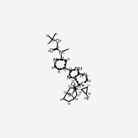 CN(C(=O)OC(C)(C)C)c1cc(-c2nc3c(N4CC5CCC(C4)N5C(=O)[C@@H]4C[C@H]4F)ccnc3[nH]2)ccn1